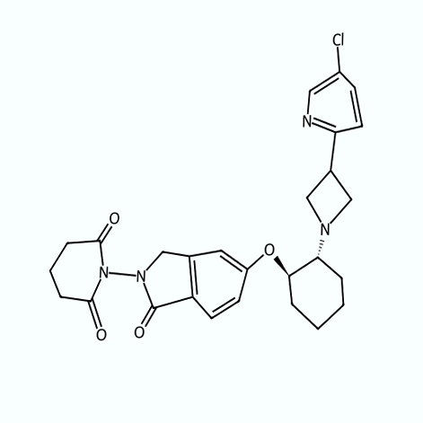 O=C1c2ccc(O[C@@H]3CCCC[C@H]3N3CC(c4ccc(Cl)cn4)C3)cc2CN1N1C(=O)CCCC1=O